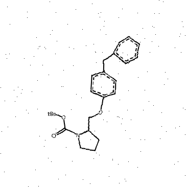 CC(C)(C)OC(=O)N1CCCC1COc1ccc(Cc2ccccc2)cc1